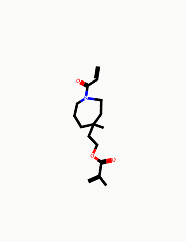 C=CC(=O)N1CCCC(C)(CCOC(=O)C(=C)C)CC1